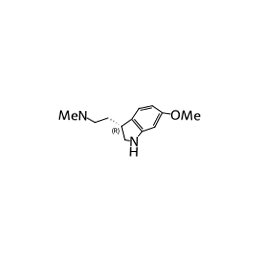 CNCC[C@H]1CNc2cc(OC)ccc21